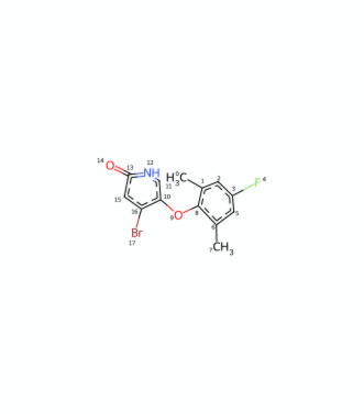 Cc1cc(F)cc(C)c1Oc1c[nH]c(=O)cc1Br